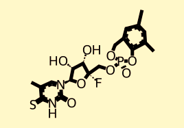 Cc1cc(C)c2c(c1)COP(=O)(OC[C@@]1(F)O[C@@H](n3cc(C)c(=S)[nH]c3=O)[C@H](O)[C@@H]1O)O2